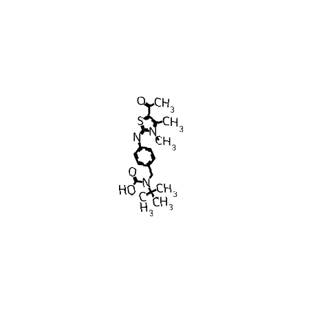 CC(=O)c1sc(=Nc2ccc(CN(C(=O)O)C(C)(C)C)cc2)n(C)c1C